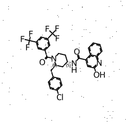 O=C(N[C@H]1CCN(C(=O)c2cc(C(F)(F)F)cc(C(F)(F)F)c2)[C@H](Cc2ccc(Cl)cc2)C1)c1cc(O)nc2ccccc12